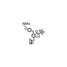 CNCCOc1ccc(Sc2ccc(Sc3nncn3C)nc2C(=O)Nc2nc(C)ns2)cc1